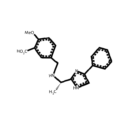 COc1ccc(CN[C@@H](C)c2nc(-c3ccccc3)c[nH]2)cc1C(=O)O